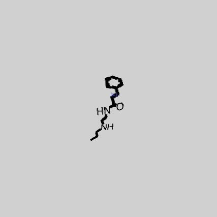 CCCNCCNC(=O)/C=C/c1ccccc1